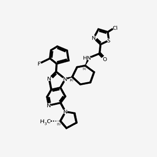 C[C@H]1CCCN1c1cc2c(cn1)nc(-c1ccccc1F)n2[C@@H]1CCC[C@H](NC(=O)c2ncc(Cl)s2)C1